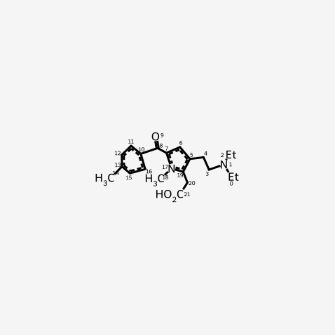 CCN(CC)CCc1cc(C(=O)c2ccc(C)cc2)n(C)c1CC(=O)O